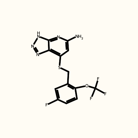 Nc1cc(SCc2cc(F)ccc2OC(F)(F)F)c2nn[nH]c2n1